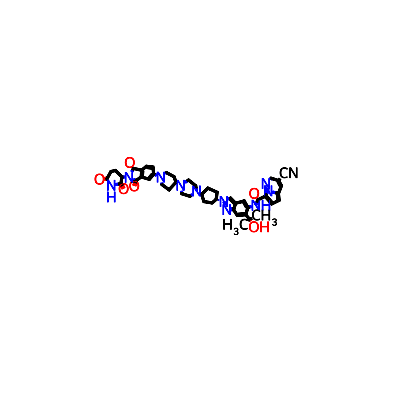 CC(C)(O)c1cc2nn([C@H]3CC[C@H](N4CCN(C5CCN(c6ccc7c(c6)C(=O)N(C6CCC(=O)NC6=O)C7=O)CC5)CC4)CC3)cc2cc1NC(=O)c1ccc2cc(C#N)cnn12